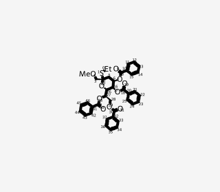 CCS[C@]1(COC)C[C@@H](OC(=O)c2ccccc2)[C@@H](OC(=O)c2ccccc2)[C@@H]([C@@H](COC(=O)c2ccccc2)OC(=O)c2ccccc2)O1